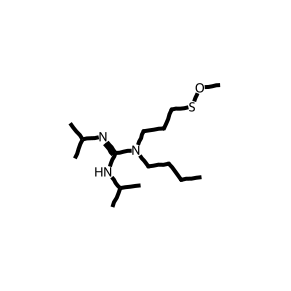 CCCCN(CCCSOC)/C(=N/C(C)C)NC(C)C